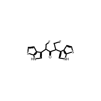 O=C(C(CF)c1c[nH]c2sccc12)C(CF)c1c[nH]c2sccc12